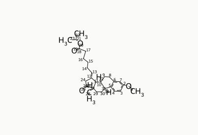 COc1ccc2c(c1)CC[C@H]1[C@@H]3[C@H](CCCCCC(=O)OC(C)C)CC(=O)[C@@]3(C)CC[C@H]21